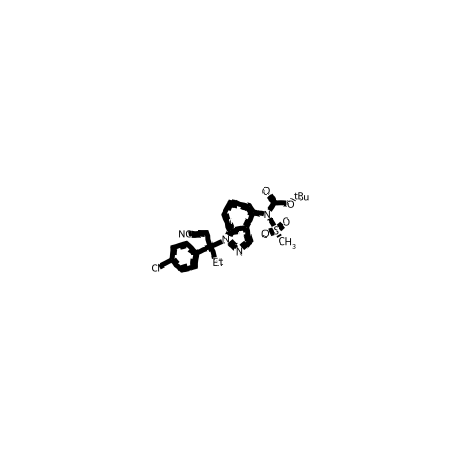 CCC(/C=C\C#N)(c1ccc(Cl)cc1)n1ncc2c(N(C(=O)OC(C)(C)C)S(C)(=O)=O)cccc21